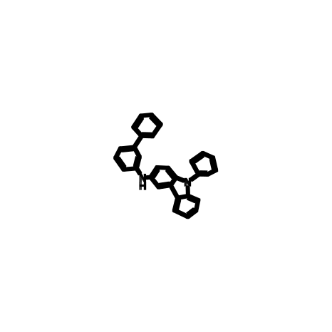 c1ccc(-c2cccc(Nc3ccc4c(c3)c3ccccc3n4-c3ccccc3)c2)cc1